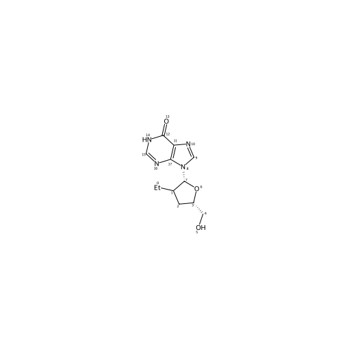 CCC1C[C@@H](CO)O[C@H]1n1cnc2c(=O)[nH]cnc21